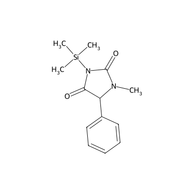 CN1C(=O)N([Si](C)(C)C)C(=O)C1c1ccccc1